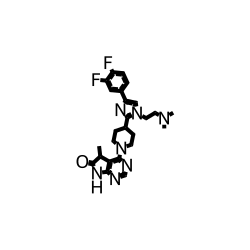 CC1C(=O)Nc2ncnc(N3CCC(c4nc(-c5ccc(F)c(F)c5)cn4CCN(C)C)CC3)c21